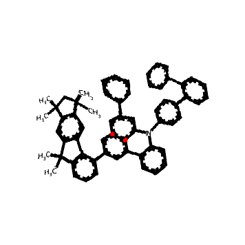 CC1(C)CC(C)(C)c2cc3c(cc21)-c1c(-c2cccc(-c4ccccc4N(c4ccc(-c5ccccc5-c5ccccc5)cc4)c4cccc(-c5ccccc5)c4)c2)cccc1C3(C)C